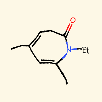 CCn1c(C)cc(C)cc1=O